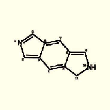 C1=NC=c2cc3c(cc21)=CNC3